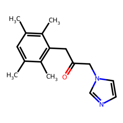 Cc1cc(C)c(C)c(CC(=O)Cn2ccnc2)c1C